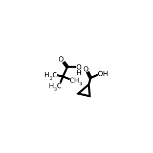 CC(C)(C)C(=O)O.O=C(O)C1CC1